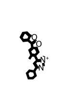 Cc1cc2c(cc1-c1cc(C3CCCCC3)nc[n+]1C)oc1oc3ccccc3c12